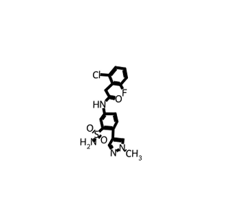 Cn1cc(-c2ccc(NC(=O)Cc3c(F)cccc3Cl)cc2S(N)(=O)=O)cn1